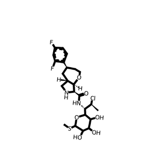 CSC1OC([C@H](NC(=O)[C@H]2NC[C@@H]3C[C@@H](c4ccc(F)cc4F)CCO[C@H]32)[C@H](C)Cl)C(O)C(O)C1O